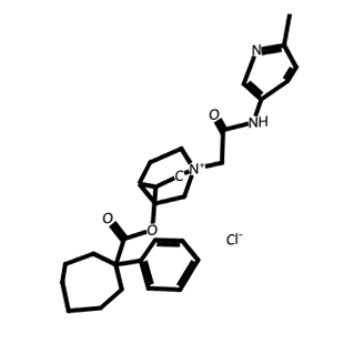 Cc1ccc(NC(=O)C[N+]23CCC(CC2)C(OC(=O)C2(c4ccccc4)CCCCCC2)C3)cn1.[Cl-]